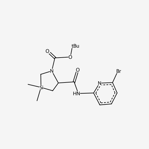 CC(C)(C)OC(=O)N1C[Si](C)(C)CC1C(=O)Nc1cccc(Br)n1